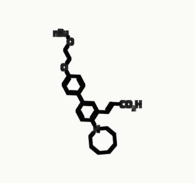 CCCCOCCOc1ccc(-c2ccc(N3CCCCCCC3)c(/C=C/C(=O)O)c2)cc1